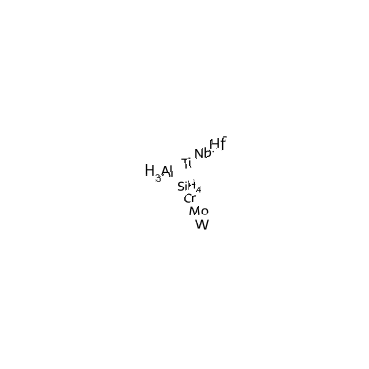 [AlH3].[Cr].[Hf].[Mo].[Nb].[SiH4].[Ti].[W]